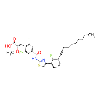 CCCCCCCCC#Cc1cccc(-c2csc(NC(=O)c3cc(F)c(C=C(OC)C(=O)O)c(F)c3)n2)c1F